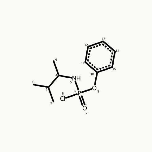 CC(C)C(C)NP(=O)(Cl)Oc1ccccc1